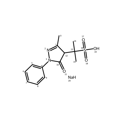 CC1=NN(c2ccccc2)C(=O)C1C(C)(C)S(=O)(=O)O.[NaH]